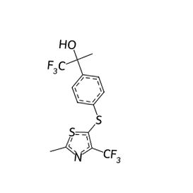 Cc1nc(C(F)(F)F)c(Sc2ccc(C(C)(O)C(F)(F)F)cc2)s1